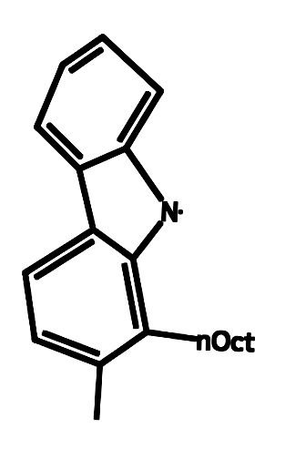 CCCCCCCCc1c(C)ccc2c1[N]c1ccccc1-2